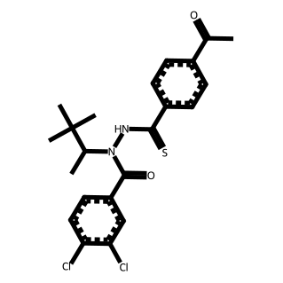 CC(=O)c1ccc(C(=S)NN(C(=O)c2ccc(Cl)c(Cl)c2)C(C)C(C)(C)C)cc1